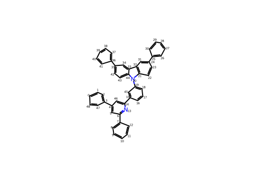 c1ccc(-c2cc(-c3ccccc3)nc(-c3cccc(-n4c5ccc(-c6ccccc6)cc5c5cc(-c6ccccc6)ccc54)c3)c2)cc1